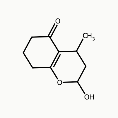 CC1CC(O)OC2=C1C(=O)CCC2